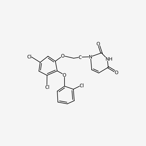 O=c1ccn(CCOc2cc(Cl)cc(Cl)c2Oc2ccccc2Cl)c(=O)[nH]1